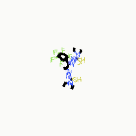 CCN(CC)/C(S)=N/N=C(C)/C(=N/N=C(\S)N(CC)CC)c1c(F)c(F)c(F)c(F)c1F